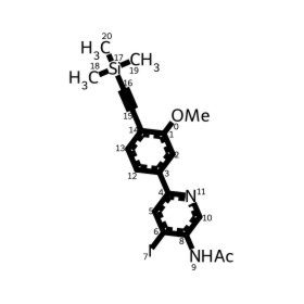 COc1cc(-c2cc(I)c(NC(C)=O)cn2)ccc1C#C[Si](C)(C)C